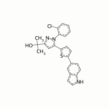 CC(C)(O)c1cc(-c2ccc(-c3ccc4[nH]ccc4c3)s2)n(-c2ccccc2Cl)n1